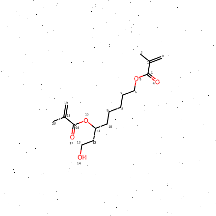 C=C(C)C(=O)OCCCCCC(CCO)OC(=O)C(=C)C